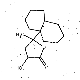 CC1(C23CCCCC2CCCC3)CC(O)C(=O)O1